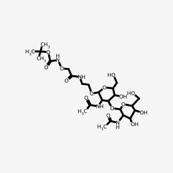 CC(=O)NC1C(OC2C(O)C(CO)OC(OCCNC(=O)CONC(=O)OC(C)(C)C)C2NC(C)=O)OC(CO)C(O)C1O